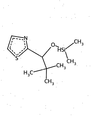 C[SiH](C)OC(c1nccs1)C(C)(C)C